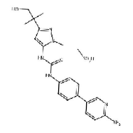 CS(=O)(=O)O.Cn1nc(C(C)(C)CO)cc1NC(=O)Nc1ccc(-c2ccc(N)nc2)cc1